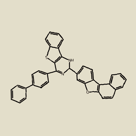 c1ccc(-c2ccc(C3=NC(c4ccc5c(c4)oc4ccc6ccccc6c45)Nc4c3sc3ccccc43)cc2)cc1